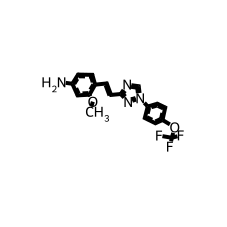 COc1cc(N)ccc1C=Cc1ncn(-c2ccc(OC(F)(F)F)cc2)n1